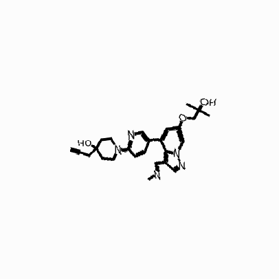 C#CCC1(O)CCN(c2ccc(-c3cc(OCC(C)(C)O)cn4ncc(/C=N/C)c34)cn2)CC1